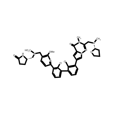 COc1nc(-c2cccc(-c3cccc(-c4cc5c(=O)n(C)c(CN(C)[C@@H]6CCCO6)nn5c4)c3Cl)c2Cl)ccc1CN(C[C@@H]1CCC(=O)N1)C(=O)O